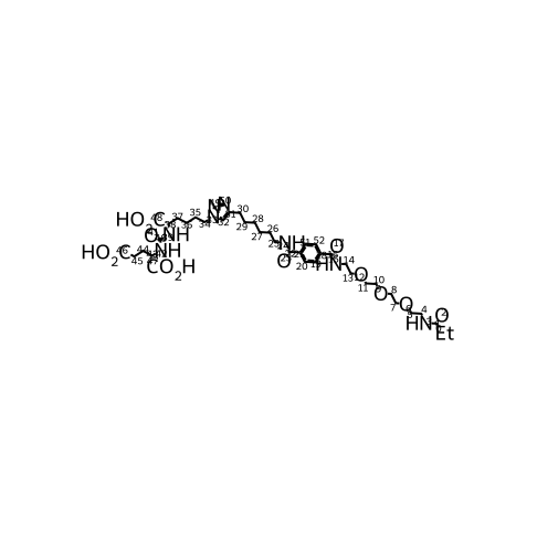 CCC(=O)NCCOCCOCCOCCNC(=O)c1ccc(C(=O)NCCCCCCc2cn(CCCC[C@H](NC(=O)N[C@@H](CCC(=O)O)C(=O)O)C(=O)O)nn2)cc1